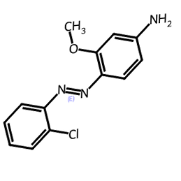 COc1cc(N)ccc1/N=N/c1ccccc1Cl